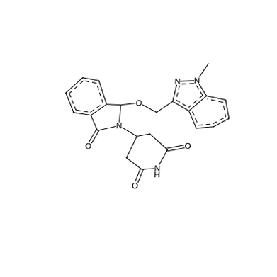 Cn1nc(COC2c3ccccc3C(=O)N2C2CC(=O)NC(=O)C2)c2ccccc21